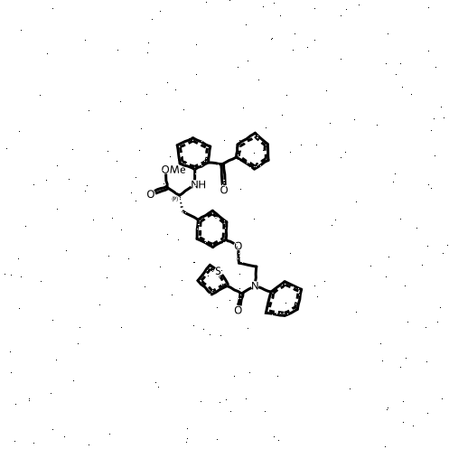 COC(=O)[C@@H](Cc1ccc(OCCN(C(=O)c2cccs2)c2ccccc2)cc1)Nc1ccccc1C(=O)c1ccccc1